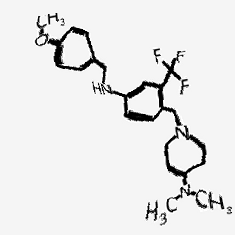 COc1ccc(CNc2ccc(CN3CCC(N(C)C)CC3)c(C(F)(F)F)c2)cc1